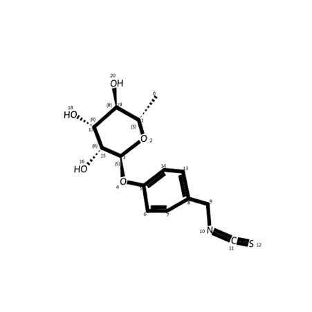 C[C@@H]1O[C@@H](Oc2ccc(CN=C=S)cc2)[C@H](O)[C@H](O)[C@H]1O